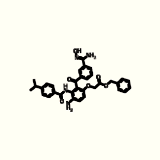 CC(C)c1ccc(C(=O)Nc2c(N)ccc(OCC(=O)OCc3ccccc3)c2C(=O)c2cccc(C(N)=NO)c2)cc1